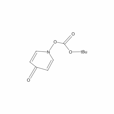 CC(C)(C)OC(=O)On1ccc(=O)cc1